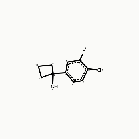 OC1(c2ccc(Cl)c(F)c2)CCC1